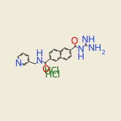 Cl.Cl.N=C(N)NC(=O)c1ccc2cc(C(=O)NCc3cccnc3)ccc2c1